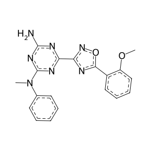 COc1ccccc1-c1nc(-c2nc(N)nc(N(C)c3ccccc3)n2)no1